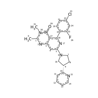 Cc1nc2cc(N3CC[C@H](c4ccccn4)C3)nc(-c3ccc(Cl)cc3F)c2c(=O)n1C